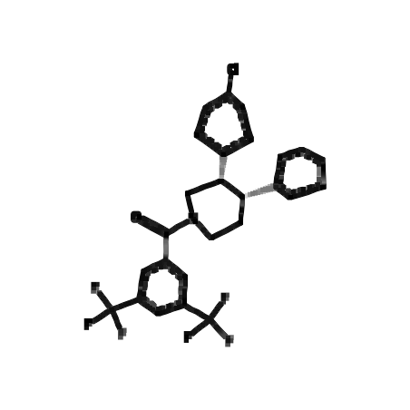 O=C(c1cc(C(F)(F)F)cc(C(F)(F)F)c1)N1CC[C@@H](c2ccccc2)[C@@H](c2ccc(Cl)cc2)C1